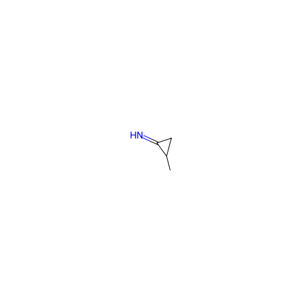 CC1CC1=N